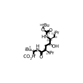 CCC(C)[C@H](NC(=O)[C@@H](C[C@@H](O)[C@H](CC(C)C)NC(=O)OC(C)(C)C)C(C)C)C(=O)O